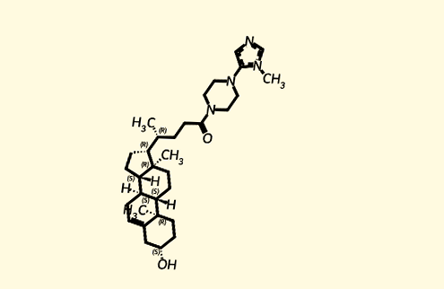 C[C@H](CCC(=O)N1CCN(c2cncn2C)CC1)[C@H]1CC[C@H]2[C@@H]3CC=C4C[C@@H](O)CC[C@]4(C)[C@H]3CC[C@]12C